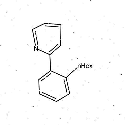 CCCCCCc1ccccc1-c1ccccn1